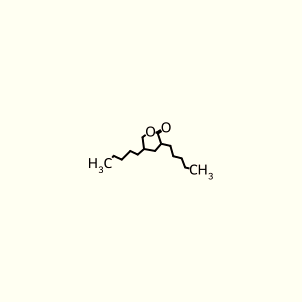 CCCCCC1COC(=O)C(CCCCC)C1